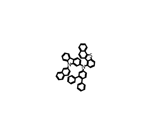 c1ccc(-c2ccc(N(c3ccc4c5ccccc5n(-c5ccc6ccccc6c5)c4c3)c3cccc4sc5c6ccccc6ccc5c34)cc2-c2ccccc2)cc1